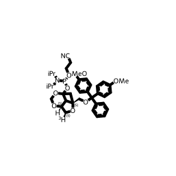 [3H][C@@H]1O[C@@]2(COC(c3ccccc3)(c3ccc(OC)cc3)c3ccc(OC)cc3)CC3(OP(OCCC#N)N(C(C)C)C(C)C)OCO[C@H]1C32